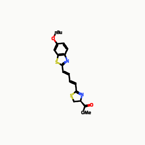 CCCCOc1ccc2nc(/C=C/C=C/C3=N[C@@H](C(=O)OC)CS3)sc2c1